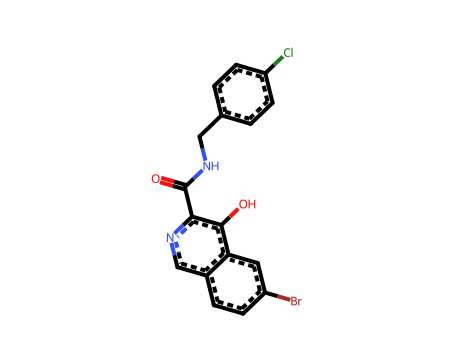 O=C(NCc1ccc(Cl)cc1)c1ncc2ccc(Br)cc2c1O